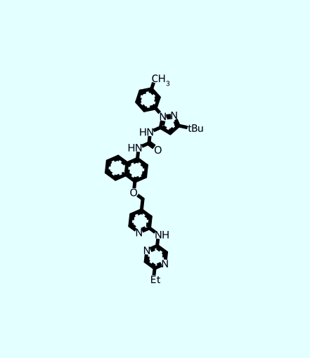 CCc1cnc(Nc2cc(COc3ccc(NC(=O)Nc4cc(C(C)(C)C)nn4-c4cccc(C)c4)c4ccccc34)ccn2)cn1